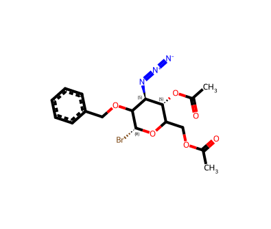 CC(=O)OCC1O[C@H](Br)C(OCc2ccccc2)[C@@H](N=[N+]=[N-])[C@@H]1OC(C)=O